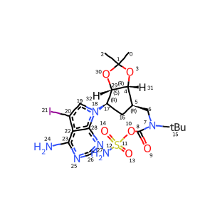 CC1(C)O[C@@H]2[C@@H](CN(C(=O)OS(N)(=O)=O)C(C)(C)C)C[C@@H](n3cc(I)c4c(N)ncnc43)[C@@H]2O1